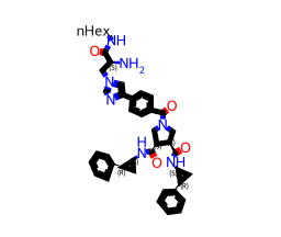 CCCCCCNC(=O)[C@@H](N)Cn1cnc(-c2ccc(C(=O)N3C[C@@H](C(=O)N[C@H]4C[C@@H]4c4ccccc4)[C@H](C(=O)N[C@H]4C[C@@H]4c4ccccc4)C3)cc2)c1